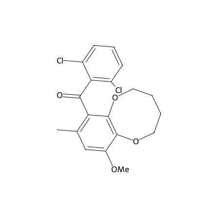 COc1cc(C)c(C(=O)c2c(Cl)cccc2Cl)c2c1OCCCCO2